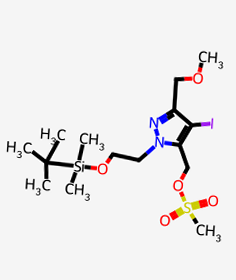 COCc1nn(CCO[Si](C)(C)C(C)(C)C)c(COS(C)(=O)=O)c1I